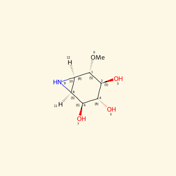 CO[C@@H]1[C@@H](O)[C@H](O)[C@@H](O)[C@H]2N[C@H]21